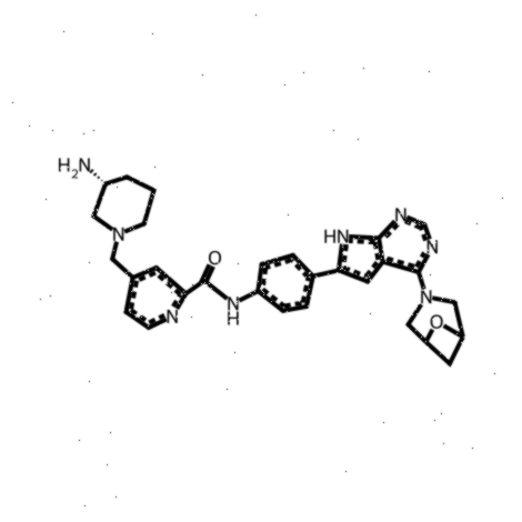 N[C@@H]1CCCN(Cc2ccnc(C(=O)Nc3ccc(-c4cc5c(N6CC7CC(C6)O7)ncnc5[nH]4)cc3)c2)C1